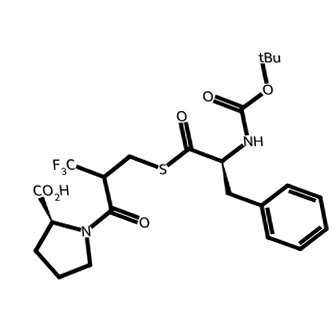 CC(C)(C)OC(=O)N[C@@H](Cc1ccccc1)C(=O)SCC(C(=O)N1CCC[C@H]1C(=O)O)C(F)(F)F